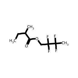 CCC(C)C(=O)OCC(F)(F)C(C)(F)F